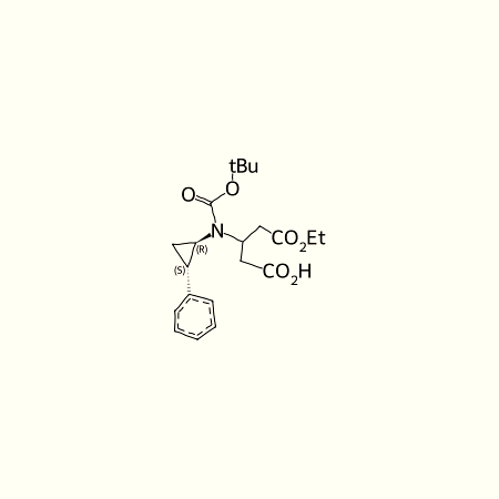 CCOC(=O)CC(CC(=O)O)N(C(=O)OC(C)(C)C)[C@@H]1C[C@H]1c1ccccc1